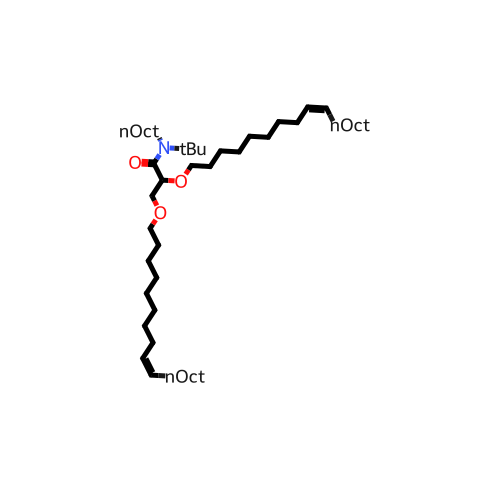 CCCCCCCC/C=C\CCCCCCCCOCC(OCCCCCCCC/C=C\CCCCCCCC)C(=O)N(CCCCCCCC)C(C)(C)C